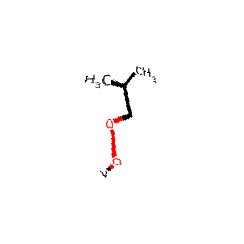 CC(C)CO[O][V]